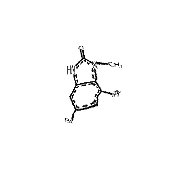 CC(C)c1cc(Br)cc2[nH]c(=O)n(C)c12